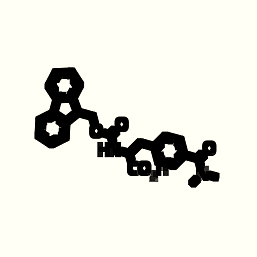 CN(C)C(=O)c1ccc(CC(NC(=O)OCC2c3ccccc3-c3ccccc32)C(=O)O)cc1